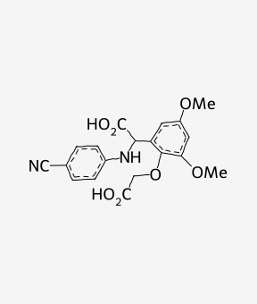 COc1cc(OC)c(OCC(=O)O)c(C(Nc2ccc(C#N)cc2)C(=O)O)c1